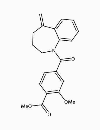 C=C1CCCN(C(=O)c2ccc(C(=O)OC)c(OC)c2)c2ccccc21